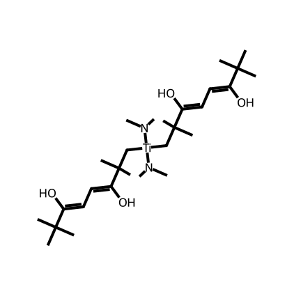 C[N](C)[Ti]([CH2]C(C)(C)C(O)=CC=C(O)C(C)(C)C)([CH2]C(C)(C)C(O)=CC=C(O)C(C)(C)C)[N](C)C